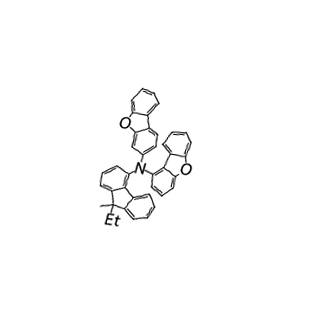 CCC1(C)c2ccccc2-c2c(N(c3ccc4c(c3)oc3ccccc34)c3cccc4oc5ccccc5c34)cccc21